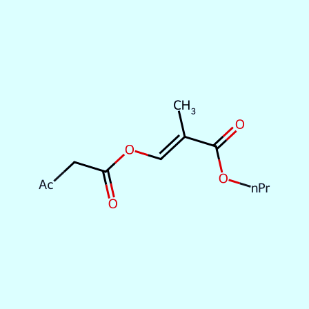 CCCOC(=O)C(C)=COC(=O)CC(C)=O